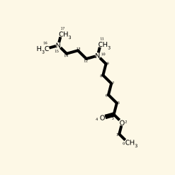 CCOC(=O)CCCCCN(C)CCCN(C)C